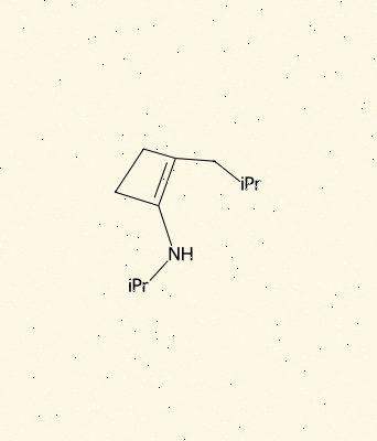 CC(C)CC1=C(NC(C)C)CC1